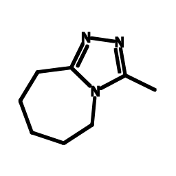 Cc1nnc2n1CCCCC2